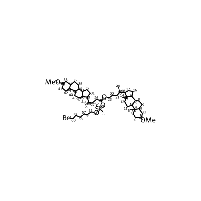 CO[C@@H]1CC[C@@]2(C)C(CCC3C2CC[C@@]2(C)C3CCC2[C@H](C)CCCOC(CC[C@@H](C)C2CCC3C4CCC5C[C@H](OC)CC[C@]5(C)C4CC[C@@]32C)O[Si](C)(C)OCCCCCCBr)C1